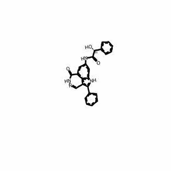 O=C1NN=Cc2c(-c3ccccc3)[nH]c3cc(NC(=O)[C@H](O)c4ccccc4)cc1c23